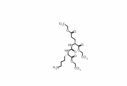 NCCCC[C@H](NC(=O)N[C@@H](CCC(=O)OCC(Cl)(Cl)Cl)C(=O)OCC(Cl)(Cl)Cl)C(=O)OCC(Cl)(Cl)Cl